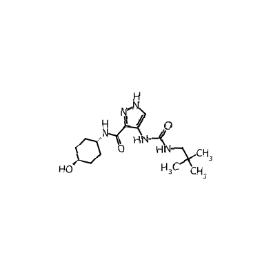 CC(C)(C)CNC(=O)Nc1c[nH]nc1C(=O)N[C@H]1CC[C@H](O)CC1